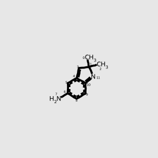 CC1(C)C=c2cc(N)ccc2=N1